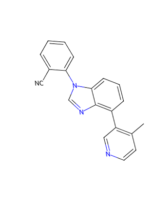 Cc1ccncc1-c1cccc2c1ncn2-c1ccccc1C#N